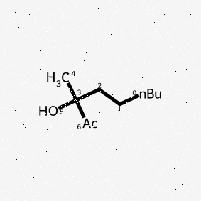 CCCCCCC(C)(O)C(C)=O